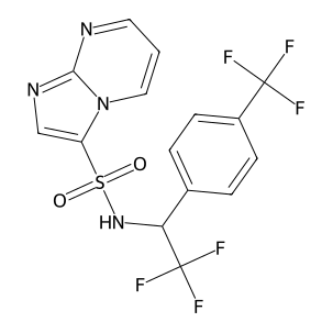 O=S(=O)(NC(c1ccc(C(F)(F)F)cc1)C(F)(F)F)c1cnc2ncccn12